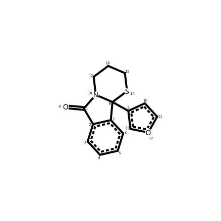 O=C1c2ccccc2C2(c3ccoc3)SCCCN12